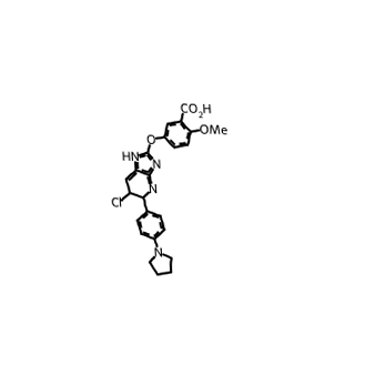 COc1ccc(Oc2nc3c([nH]2)=CC(Cl)C(c2ccc(N4CCCC4)cc2)N=3)cc1C(=O)O